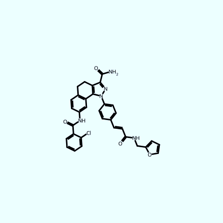 NC(=O)c1nn(-c2ccc(/C=C/C(=O)NCc3ccco3)cc2)c2c1CCc1ccc(NC(=O)c3ccccc3Cl)cc1-2